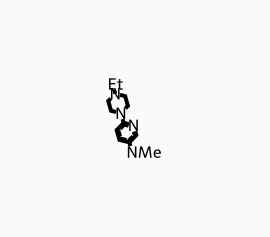 CCN1CCN(c2ccc(NC)cn2)CC1